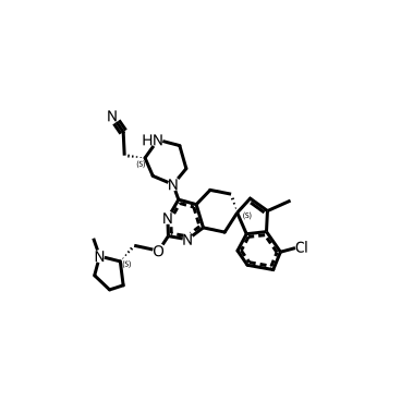 CC1=C[C@@]2(CCc3c(nc(OC[C@@H]4CCCN4C)nc3N3CCN[C@@H](CC#N)C3)C2)c2cccc(Cl)c21